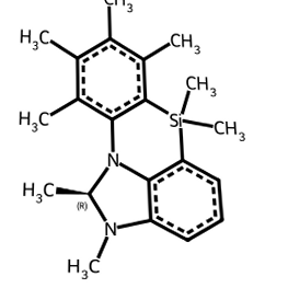 Cc1c(C)c(C)c2c(c1C)N1c3c(cccc3[Si]2(C)C)N(C)[C@H]1C